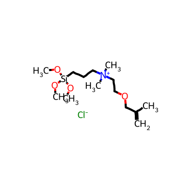 C=C(C)COCC[N+](C)(C)CCC[Si](OC)(OC)OC.[Cl-]